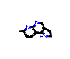 Cc1ccc2c(ncc3cc[nH]c32)n1